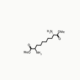 COC(=O)C(N)CCCCCC[C@H](N)C(=O)OC